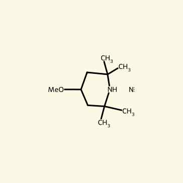 COC1CC(C)(C)NC(C)(C)C1.[N]